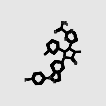 Cc1cccc(C2C(c3ccnc(C(N)=O)n3)C(C)C(=O)N2c2ccc3c(cnn3-c3ccc(F)cc3)c2)c1